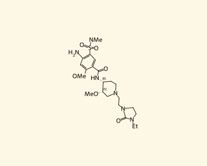 CCN1CCN(CCN2CC[C@@H](NC(=O)c3cc(S(=O)(=O)NC)c(N)cc3OC)[C@@H](OC)C2)C1=O